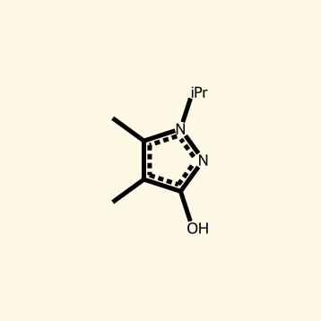 Cc1c(O)nn(C(C)C)c1C